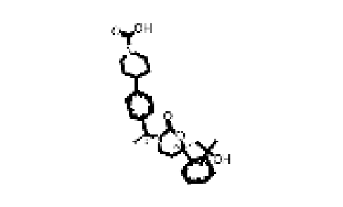 C[C@@H](c1ccc(C2CCN(C(=O)O)CC2)cc1)N1CC[C@](CC(C)(C)O)(c2ccccc2)OC1=O